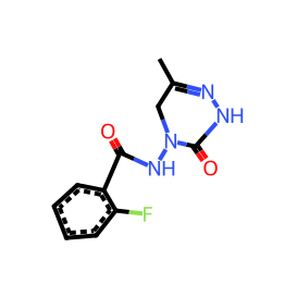 CC1=NNC(=O)N(NC(=O)c2ccccc2F)C1